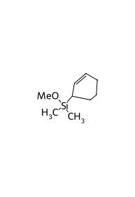 CO[Si](C)(C)C1C=CCCC1